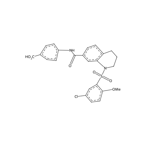 COc1ccc(Cl)cc1S(=O)(=O)N1CCCc2ccc(C(=O)Nc3ccc(C(=O)O)cc3)cc21